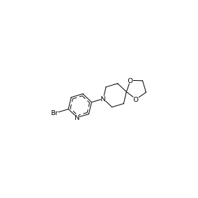 Brc1ccc(N2CCC3(CC2)OCCO3)cn1